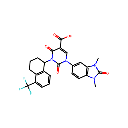 Cn1c(=O)n(C)c2cc(-n3cc(C(=O)O)c(=O)n(C4CCCc5c4cccc5C(F)(F)F)c3=O)ccc21